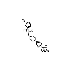 COC(=O)c1ccc(C2CCC(CC(=S)Nc3cccc(Cl)c3)CC2)cc1